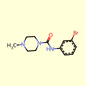 CN1CCN(C(=O)Nc2cccc(Br)c2)CC1